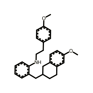 COc1ccc(CCNc2ccccc2CC2CCc3cc(OC)ccc3C2)cc1